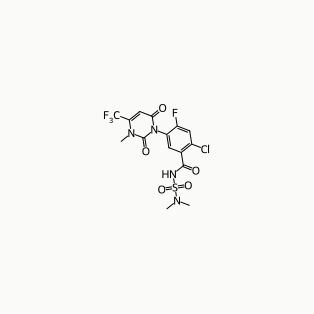 CN(C)S(=O)(=O)NC(=O)c1cc(-n2c(=O)cc(C(F)(F)F)n(C)c2=O)c(F)cc1Cl